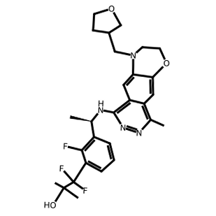 Cc1nnc(N[C@H](C)c2cccc(C(F)(F)C(C)(C)O)c2F)c2cc3c(cc12)OCCN3CC1CCOC1